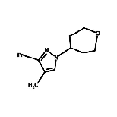 Cc1cn(C2CCOCC2)nc1C(C)C